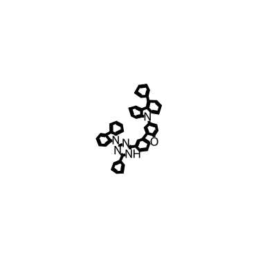 c1ccc(-c2cccc3c2c2ccccc2n3-c2ccc3oc4ccc(C5=NC(n6c7ccccc7c7ccccc76)=NC(c6ccccc6)N5)cc4c3c2)cc1